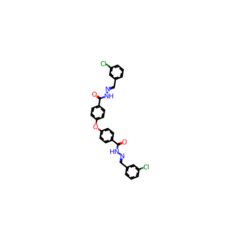 O=C(N/N=C/c1cccc(Cl)c1)c1ccc(Oc2ccc(C(=O)N/N=C/c3cccc(Cl)c3)cc2)cc1